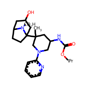 CC(C)OC(=O)NC1CN(c2ccccn2)CC(C)(C23CCC(CC(O)C2)N3C(=O)O)C1